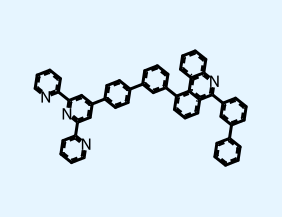 c1ccc(-c2cccc(-c3nc4ccccc4c4c(-c5cccc(-c6ccc(-c7cc(-c8ccccn8)nc(-c8ccccn8)c7)cc6)c5)cccc34)c2)cc1